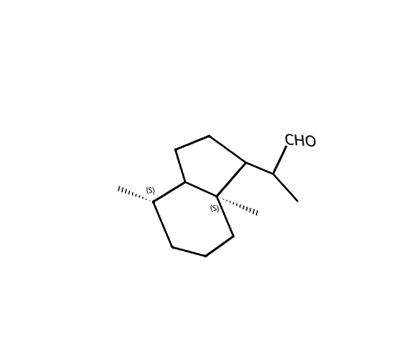 CC(C=O)C1CCC2[C@@H](C)CCC[C@]12C